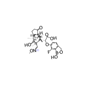 CO/N=C\[C@]1(C)C[C@@H](C(Oc2ccc3c(c2F)B(O)OC3)C(=O)O)[C@@]2(C)[C@H](C)CC[C@]3(CCC(=O)[C@H]32)[C@@H](C)[C@@H]1O